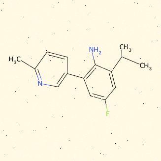 Cc1ccc(-c2cc(F)cc(C(C)C)c2N)cn1